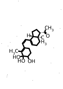 CC(=O)[C@H]1CC[C@H]2C(/C=C\C3=C(C)C(O)(O)C(O)CC3)=CCC[C@]12C